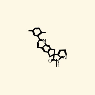 Cc1ccc(C)c(-c2ccc3cc4c(cc3n2)CC2(C4)C(=O)Nc3ncccc32)c1